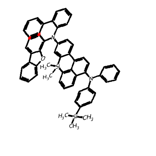 C[Si](C)(C)c1ccc(N(c2ccccc2)c2ccc3c4c(cccc24)[Si](C)(C)c2cc(N(c4ccccc4-c4ccccc4)c4cccc5c4oc4ccccc45)ccc2-3)cc1